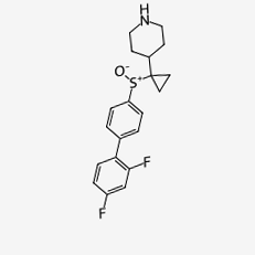 [O-][S+](c1ccc(-c2ccc(F)cc2F)cc1)C1(C2CCNCC2)CC1